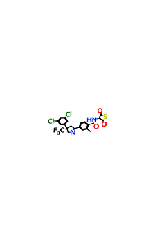 Cc1cc(C2=NC[C@@](c3cc(Cl)cc(Cl)c3)(C(F)(F)F)C2)ccc1C(=O)NC1C(=O)SC1=O